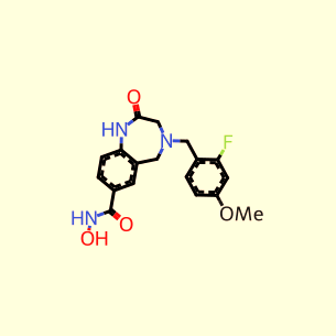 COc1ccc(CN2CC(=O)Nc3ccc(C(=O)NO)cc3C2)c(F)c1